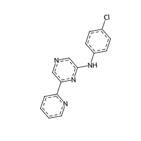 Clc1ccc(Nc2cncc(-c3ccccn3)n2)cc1